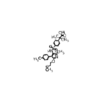 COCCOc1nn(C)c(NS(=O)(=O)c2ccc(C(C)(C)C(=O)O)cc2)c1-c1ccc(C)cc1